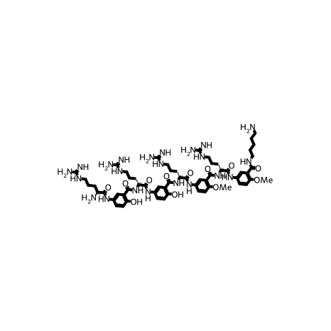 COc1ccc(NC(=O)[C@@H](CCCNC(=N)N)NC(=O)c2cc(NC(=O)[C@@H](CCCNC(=N)N)NC(=O)c3cc(NC(=O)[C@@H](CCCNC(=N)N)NC(=O)c4cc(NC(=O)[C@H](N)CCCNC(=N)N)ccc4O)ccc3O)ccc2OC)cc1C(=O)NCCCCCN